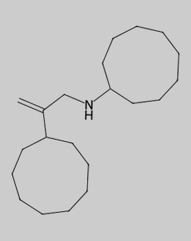 C=C(CNC1CCCCCCCC1)C1CCCCCCCC1